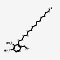 CC(C)CCCCCCCCCCCCCCc1c(CC(C)C)ccc(C(=O)O)c1C(=O)O